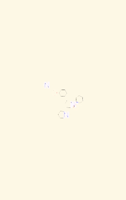 CN(C)CCOc1cccc(C2=CC(c3ccccn3)=C[N+]([O-])(c3ccccc3)C2)c1